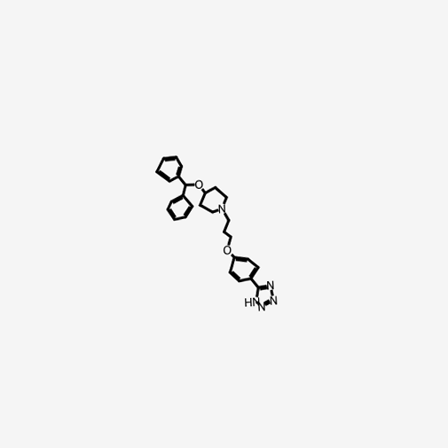 c1ccc(C(OC2CCN(CCCOc3ccc(-c4nnn[nH]4)cc3)CC2)c2ccccc2)cc1